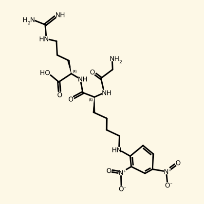 N=C(N)NCCC[C@@H](NC(=O)[C@H](CCCCNc1ccc([N+](=O)[O-])cc1[N+](=O)[O-])NC(=O)CN)C(=O)O